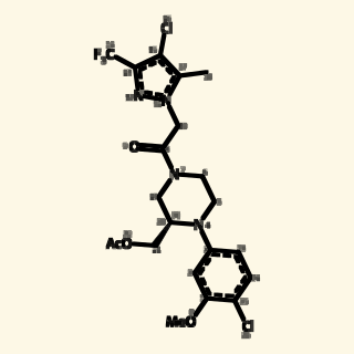 COc1cc(N2CCN(C(=O)Cn3nc(C(F)(F)F)c(Cl)c3C)C[C@@H]2COC(C)=O)ccc1Cl